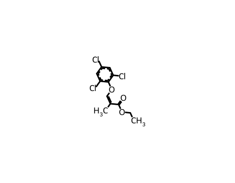 CCOC(=O)C(C)=COc1c(Cl)cc(Cl)cc1Cl